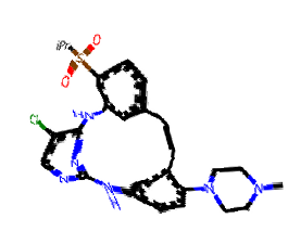 CC(C)S(=O)(=O)c1ccc2cc1Nc1nc(ncc1Cl)Nc1ccc(N3CCN(C)CC3)c(c1)/C=C\2